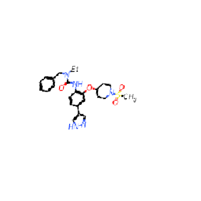 CCN(Cc1ccccc1)C(=O)Nc1ccc(-c2cn[nH]c2)cc1OC1CCN(S(C)(=O)=O)CC1